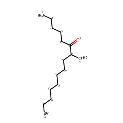 CCC(C)CCCCC(=O)C([C]=O)CCCCCCCC(C)C